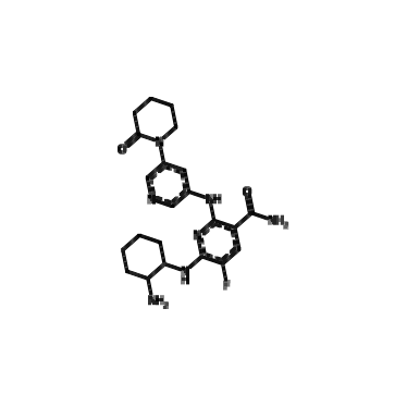 NC(=O)c1cc(F)c(NC2CCCCC2N)nc1Nc1cncc(N2CCCCC2=O)c1